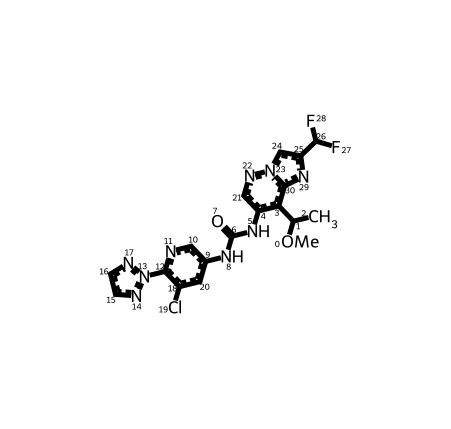 COC(C)c1c(NC(=O)Nc2cnc(-n3nccn3)c(Cl)c2)cnn2cc(C(F)F)nc12